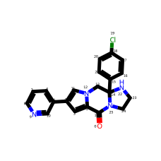 O=C1c2cc(-c3cccnc3)cn2CC2(c3ccc(Cl)cc3)NCCN12